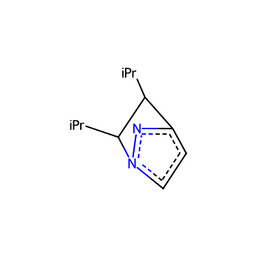 CC(C)C1c2ccn(n2)C1C(C)C